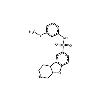 COc1cccc(NS(=O)(=O)c2ccc3c(c2)C2CCNCC2O3)c1